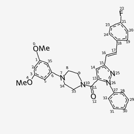 COc1cc(OC)cc(N2CCN(C(=O)c3cc(/C=C/c4ccc(F)cc4)nn3-c3ccccc3)CC2)c1